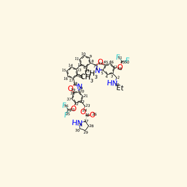 CCNCc1cc2nc(-c3cccc(-c4cccc(-c5nc6cc(COC(=O)[C@@H]7CCCN7)c(OC(F)F)cc6o5)c4C)c3C)oc2cc1OC(F)F